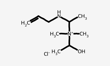 C=CCNC(C)[N+](C)(C)C(C)O.[Cl-]